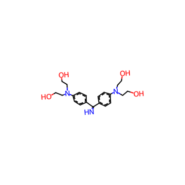 N=C(c1ccc(N(CCO)CCO)cc1)c1ccc(N(CCO)CCO)cc1